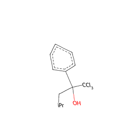 CC(C)CC(O)(c1ccccc1)C(Cl)(Cl)Cl